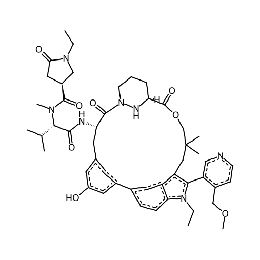 CCN1C[C@@H](C(=O)N(C)[C@H](C(=O)N[C@H]2Cc3cc(O)cc(c3)-c3ccc4c(c3)c(c(-c3cnccc3COC)n4CC)CC(C)(C)COC(=O)[C@@H]3CCCN(N3)C2=O)C(C)C)CC1=O